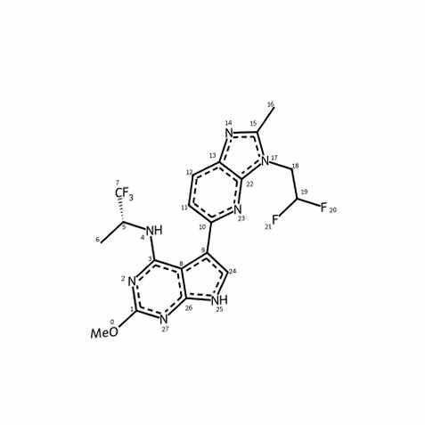 COc1nc(N[C@H](C)C(F)(F)F)c2c(-c3ccc4nc(C)n(CC(F)F)c4n3)c[nH]c2n1